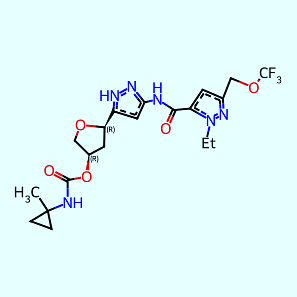 CCn1nc(COC(F)(F)F)cc1C(=O)Nc1cc([C@H]2C[C@@H](OC(=O)NC3(C)CC3)CO2)[nH]n1